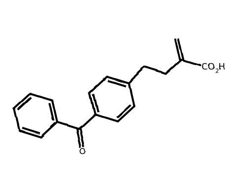 C=C(CCc1ccc(C(=O)c2ccccc2)cc1)C(=O)O